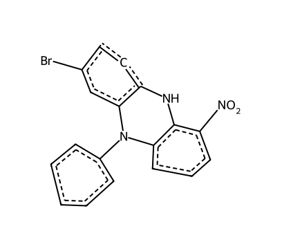 O=[N+]([O-])c1cccc2c1Nc1ccc(Br)cc1N2c1ccccc1